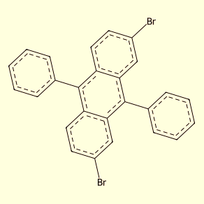 Brc1ccc2c(-c3ccccc3)c3ccc(Br)cc3c(-c3ccccc3)c2c1